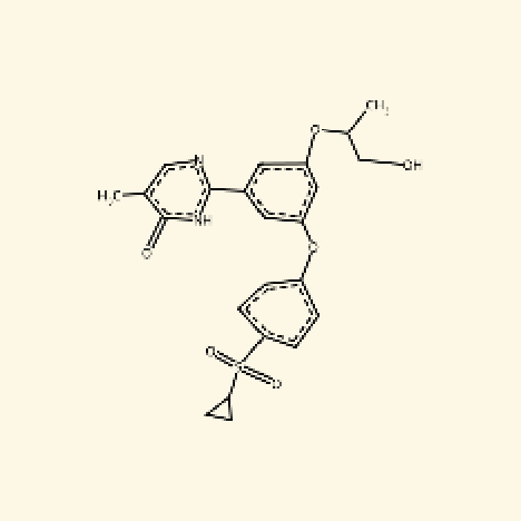 Cc1cnc(-c2cc(Oc3ccc(S(=O)(=O)C4CC4)cc3)cc(OC(C)CO)c2)[nH]c1=O